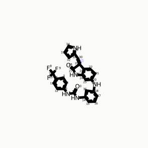 O=C(Nc1ccc(C(F)(F)F)cc1)Nc1cccc(Nc2ccc3c(c2)NC(=O)/C3=C\c2ccc[nH]2)c1